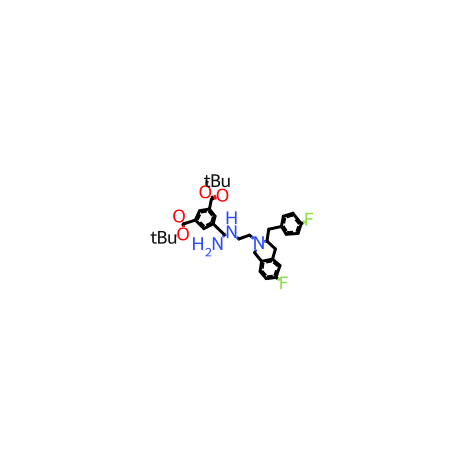 CC(C)(C)OC(=O)c1cc(C(=O)OC(C)(C)C)cc(C(N)NCCN2Cc3ccc(F)cc3CC2Cc2ccc(F)cc2)c1